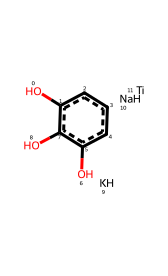 Oc1cccc(O)c1O.[KH].[NaH].[Ti]